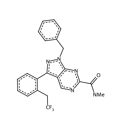 CNC(=O)c1ncc2c(-c3ccccc3CC(F)(F)F)nn(Cc3ccccc3)c2n1